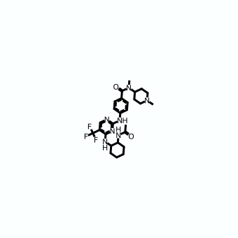 CC(=O)NC1CCCCC1Nc1nc(Nc2ccc(C(=O)N(C)C3CCN(C)CC3)cc2)ncc1C(F)(F)F